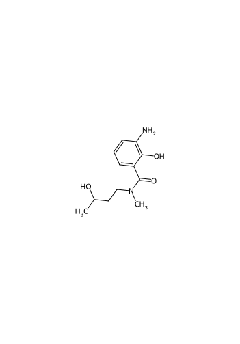 CC(O)CCN(C)C(=O)c1cccc(N)c1O